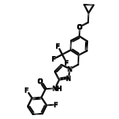 O=C(Nc1ccn(Cc2ccc(OCC3CC3)cc2C(F)(F)F)n1)c1c(F)cccc1F